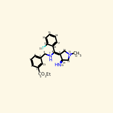 CCOC(=O)c1cccc(CN/C(=C2/CN(C)CC2=N)c2ccccc2F)c1